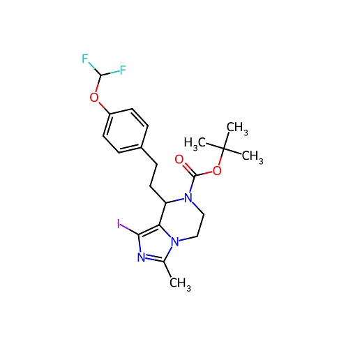 Cc1nc(I)c2n1CCN(C(=O)OC(C)(C)C)C2CCc1ccc(OC(F)F)cc1